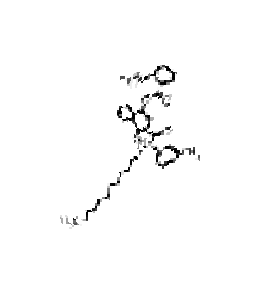 CCCCCCCCCCCCON(C(=O)c1cc(OC(=O)c2ccccc2NC)c2ccccc2c1O)c1cccc(C)c1